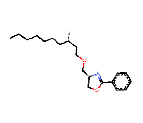 CCCCCCC[C@H](C)CCOC[C@@H]1COC(c2ccccc2)=N1